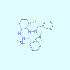 C[Si](C)(C)N(Cc1ccccc1)/N=C1/CCCC(=O)/C1=N\N(Cc1ccccc1)[Si](C)(C)C